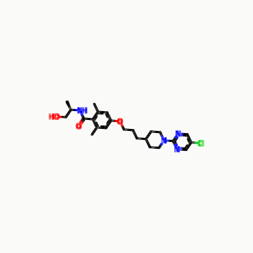 Cc1cc(OCCCC2CCN(c3ncc(Cl)cn3)CC2)cc(C)c1C(=O)N[C@H](C)CO